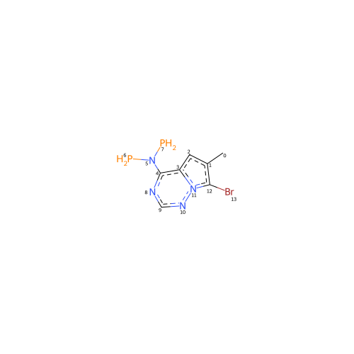 Cc1cc2c(N(P)P)ncnn2c1Br